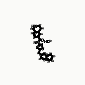 Cl.O=C(Nc1nnc(Cc2ccc3ccccc3c2)s1)c1ccc2c(c1)CCNC2